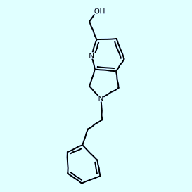 OCc1ccc2c(n1)CN(CCc1ccccc1)C2